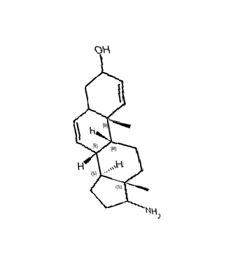 C[C@]12C=CC(O)CC1C=C[C@@H]1[C@H]2CC[C@]2(C)C(N)CC[C@@H]12